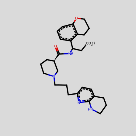 O=C(O)CC(NC(=O)[C@@H]1CCCN(CCCc2ccc3c(n2)NCCC3)C1)c1cccc2c1CCCO2